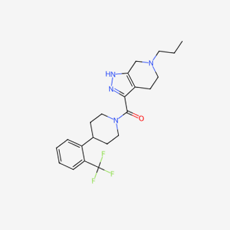 CCCN1CCc2c(C(=O)N3CCC(c4ccccc4C(F)(F)F)CC3)n[nH]c2C1